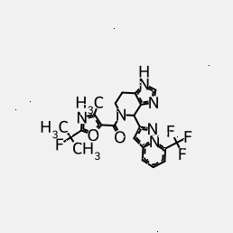 Cc1nc(C(C)(C)F)oc1C(=O)N1CCc2[nH]cnc2C1c1cc2cccc(C(F)(F)F)n2n1